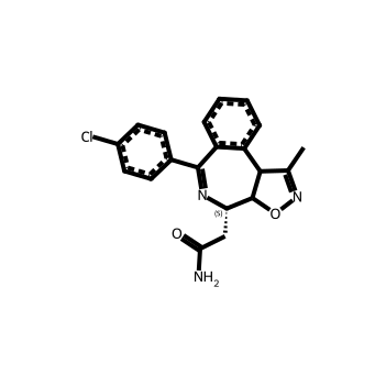 CC1=NOC2C1c1ccccc1C(c1ccc(Cl)cc1)=N[C@H]2CC(N)=O